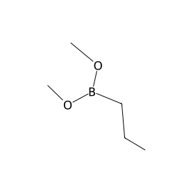 CCCB(OC)OC